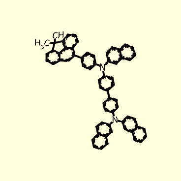 CC1(C)c2cccc3cc(-c4ccc(N(c5ccc(-c6ccc(N(c7ccc8ccccc8c7)c7ccc8ccccc8c7)cc6)cc5)c5ccc6ccccc6c5)cc4)c4cccc1c4c23